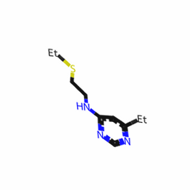 CCSCCNc1cc(CC)ncn1